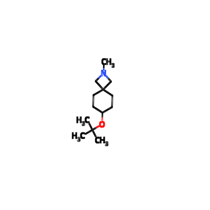 CN1CC2(CCC(OC(C)(C)C)CC2)C1